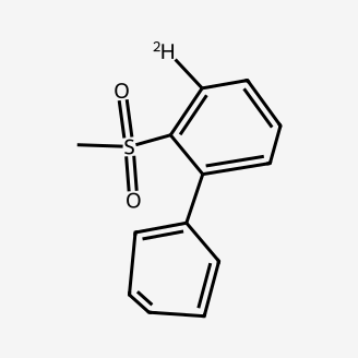 [2H]c1cccc(-c2ccccc2)c1S(C)(=O)=O